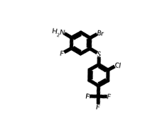 Nc1cc(Br)c(Sc2ccc(C(F)(F)F)cc2Cl)cc1F